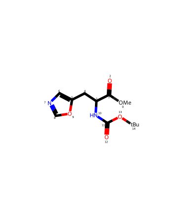 COC(=O)C(Cc1cnco1)NC(=O)OC(C)(C)C